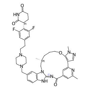 Cc1cc2cc(n1)-c1cnn(C)c1OCCC[C@@H](C)CN1/C(=N/C2=O)Nc2ccc(CN3CCN(CCc4cc(F)c([C@H]5CCC(=O)NC5=O)c(F)c4)CC3)cc21